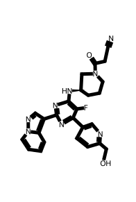 N#CCC(=O)N1CCC[C@@H](Nc2nc(-c3cnn4ccccc34)nc(-c3ccc(CO)nc3)c2F)C1